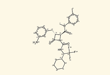 Cc1cccc(N(C)C(=O)[C@@H]2[C@@H](Cc3ccnc(N)c3)C(=O)N2C(=O)NC(C2CCCCC2)C(F)(F)F)c1